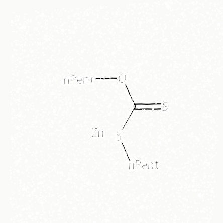 CCCCCOC(=S)SCCCCC.[Zn]